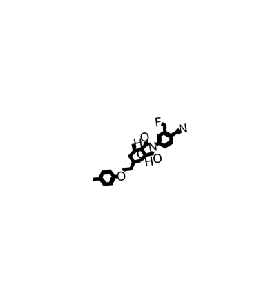 Cc1ccc(OCCC2CC3(C)OC2[C@H]2C(=O)N(c4ccc(C#N)c(CF)c4)C(=O)[C@H]23)cc1